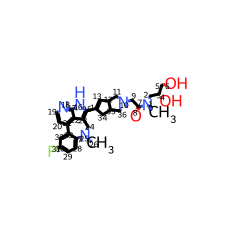 CN(CC(O)CO)C(=O)CN1CC2C=C(c3[nH]c4nccc5c4c3CN(C)c3ccc(F)cc3-5)CC2C1